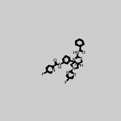 O=C(NC1=NC2(c3cccc(NC(=O)c4ccc(F)cn4)c3)CN(c3ncc(F)cn3)C[C@H]2CS1)c1ccccc1